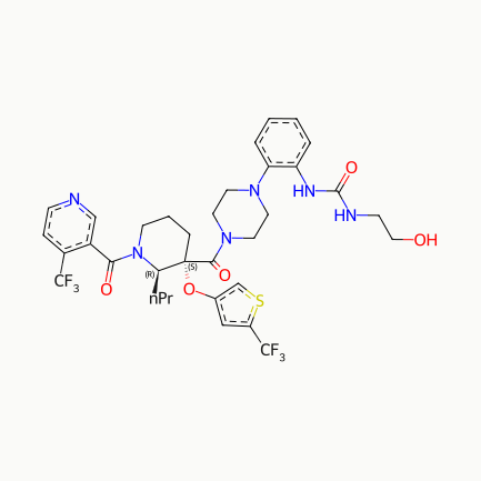 CCC[C@H]1N(C(=O)c2cnccc2C(F)(F)F)CCC[C@@]1(Oc1csc(C(F)(F)F)c1)C(=O)N1CCN(c2ccccc2NC(=O)NCCO)CC1